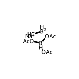 BC#N.CC(=O)O[BH-](OC(C)=O)OC(C)=O.[Na+]